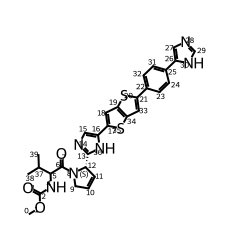 COC(=O)NC(C(=O)N1CC=C[C@H]1c1ncc(-c2cc3sc(-c4ccc(-c5cnc[nH]5)cc4)cc3s2)[nH]1)C(C)C